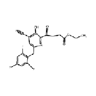 CCOC(=O)CCC(=O)c1nc(Cc2c(F)cc(F)cc2F)cc(C#N)c1O